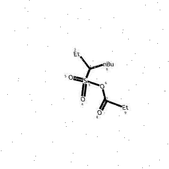 CCCCC(CC)S(=O)(=O)OC(=O)CC